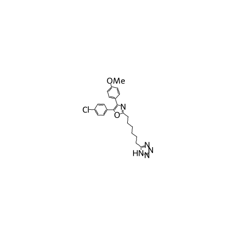 COc1ccc(-c2nc(CCCCCCc3nnn[nH]3)oc2-c2ccc(Cl)cc2)cc1